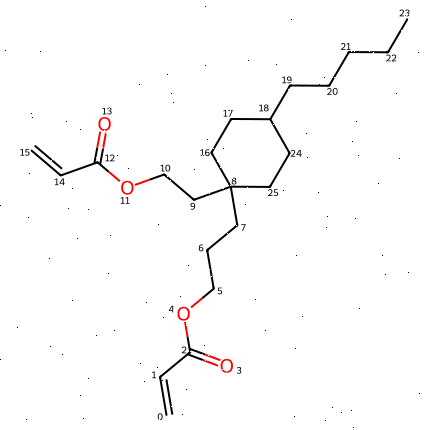 C=CC(=O)OCCCC1(CCOC(=O)C=C)CCC(CCCCC)CC1